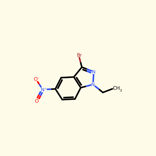 CCn1nc(Br)c2cc([N+](=O)[O-])ccc21